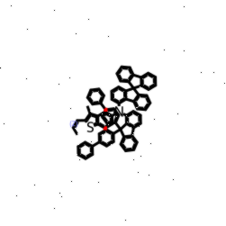 C/C=C\c1sc2ccc(N(c3cccc4c3-c3ccccc3C43c4ccccc4-c4ccccc43)c3cccc4c3C(c3ccc(-c5ccccc5)cc3)(c3ccc(-c5ccccc5)cc3)c3ccccc3-4)cc2c1C